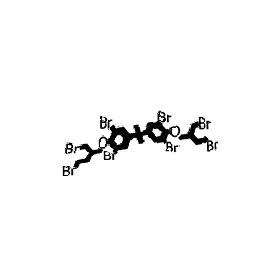 CC(C)(c1cc(Br)c(OCC(CBr)CCBr)c(Br)c1)c1cc(Br)c(OCC(CBr)CCBr)c(Br)c1